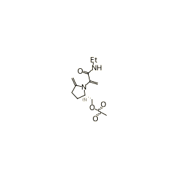 C=C1CC[C@@H](COS(C)(=O)=O)N1C(=C)C(=O)NCC